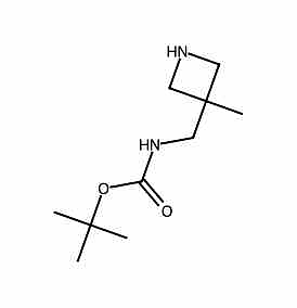 CC1(CNC(=O)OC(C)(C)C)CNC1